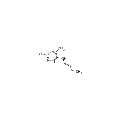 CCC=NNc1nnc(Cl)cc1N